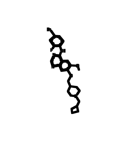 COc1cc2c(Nc3ccc(Br)cc3F)ncnc2cc1OCC1CCN(CC2CCC2)CC1